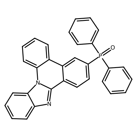 O=P(c1ccccc1)(c1ccccc1)c1ccc2c(c1)c1ccccc1n1c3ccccc3nc21